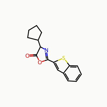 O=C1OC(c2cc3ccccc3s2)=NC1C1CCCC1